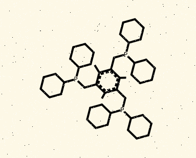 Cc1c(CP(C2CCCCC2)C2CCCCC2)c(C)c(CP(C2CCCCC2)C2CCCCC2)c(C)c1CP(C1CCCCC1)C1CCCCC1